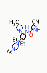 CCC(CC)(c1ccc(NC(=O)c2cc(C#N)c[nH]2)c(N2CCC(C)CC2)c1)N1CCN(C(C)=O)CC1